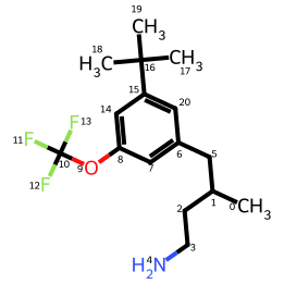 CC(CCN)Cc1cc(OC(F)(F)F)cc(C(C)(C)C)c1